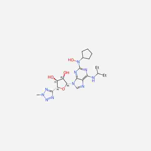 CCC(CC)Nc1nc(N(O)C2CCCC2)nc2c1ncn2[C@@H]1O[C@H](c2nnn(C)n2)[C@@H](O)[C@H]1O